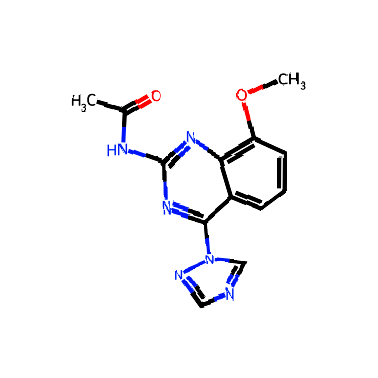 COc1cccc2c(-n3cncn3)nc(NC(C)=O)nc12